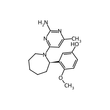 COc1ccc(O)cc1[C@H]1CCCCCN1c1cc(C)nc(N)n1